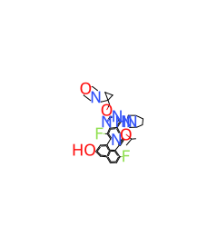 C#Cc1c(F)ccc2cc(O)cc(-c3nc(OC(C)C)c4c(N5CC6CCC(C5)N6)nc(OCC5(CN6CCOCC6)CC5)nc4c3F)c12